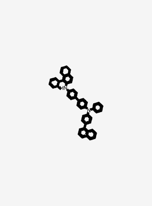 CC1C=CC=CC1c1c(Nc2ccc(-c3ccc(N(c4ccccc4)c4ccc(-c5cccc6ccccc56)cc4)cc3)cc2)ccc2c1C=CCC2